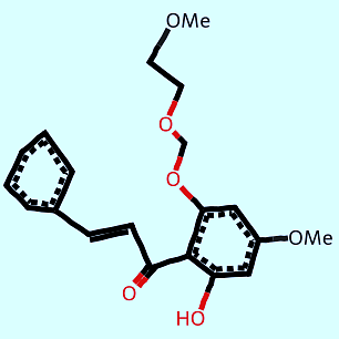 COCCOCOc1cc(OC)cc(O)c1C(=O)/C=C/c1ccccc1